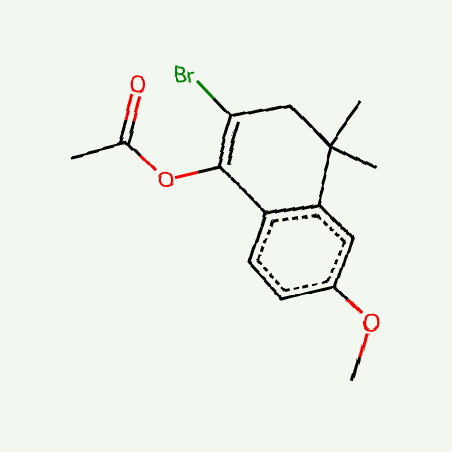 COc1ccc2c(c1)C(C)(C)CC(Br)=C2OC(C)=O